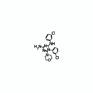 NC1=NC(Nc2cccc(Cl)c2)N(c2cccc(Cl)c2)C(N2CCOCC2)=N1